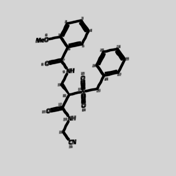 COc1ccccc1C(=O)NC[C@H](C(=O)NCC#N)S(=O)(=O)Cc1ccccc1